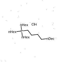 CCCCCCCCCCCCCC[P](CCCCCC)(CCCCCC)CCCCCC.Cl